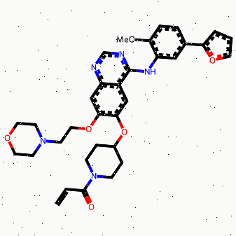 C=CC(=O)N1CCC(Oc2cc3c(Nc4cc(-c5ccco5)ccc4OC)ncnc3cc2OCCN2CCOCC2)CC1